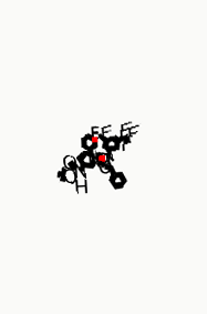 C[C@@H](OC[C@@]1(c2ccccc2)C=CC(NC(=O)OC(C)(C)C)CN1C(=O)OCc1ccccc1)c1cc(C(F)(F)F)cc(C(F)(F)F)c1